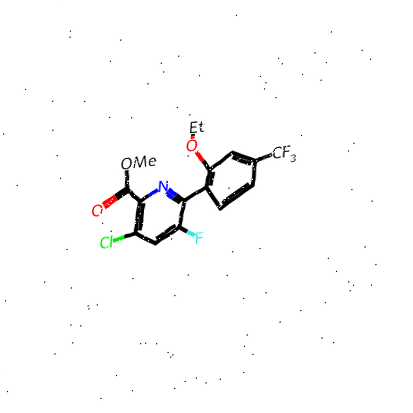 CCOc1cc(C(F)(F)F)ccc1-c1nc(C(=O)OC)c(Cl)cc1F